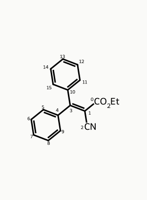 [CH2]COC(=O)C(C#N)=C(c1ccccc1)c1ccccc1